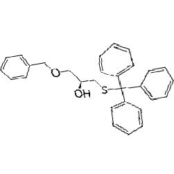 O[C@@H](COCc1ccccc1)CSC(c1ccccc1)(c1ccccc1)c1ccccc1